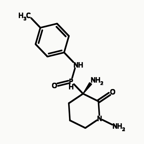 Cc1ccc(N[PH](=O)[C@@]2(N)CCCN(N)C2=O)cc1